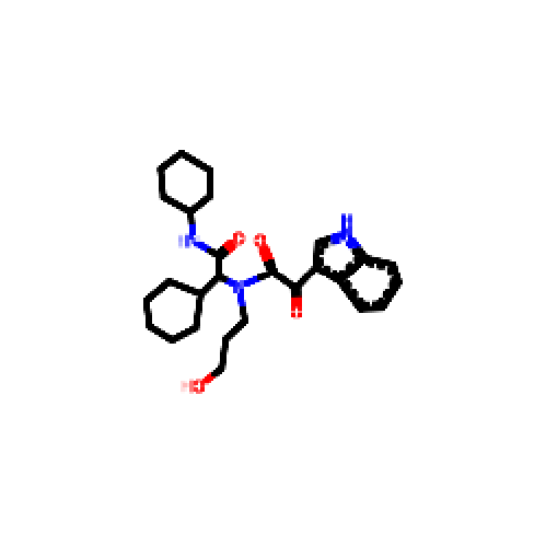 O=C(C(=O)N(CCCO)C(C(=O)NC1CCCCC1)C1CCCCC1)c1c[nH]c2ccccc12